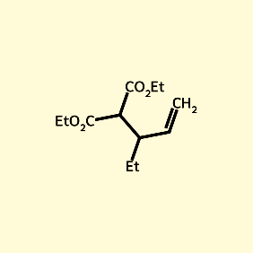 C=CC(CC)C(C(=O)OCC)C(=O)OCC